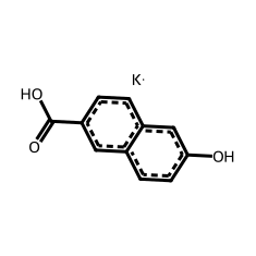 O=C(O)c1ccc2cc(O)ccc2c1.[K]